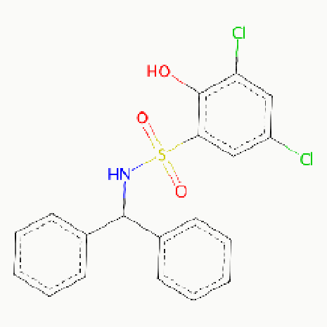 O=S(=O)(NC(c1ccccc1)c1ccccc1)c1cc(Cl)cc(Cl)c1O